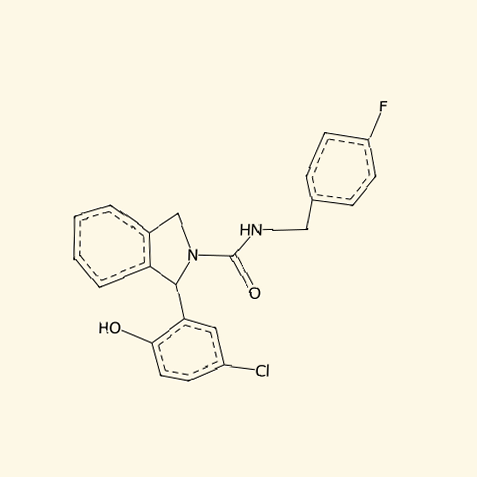 O=C(NCc1ccc(F)cc1)N1Cc2ccccc2C1c1cc(Cl)ccc1O